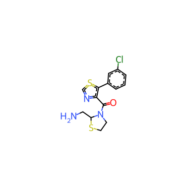 NCC1SCCN1C(=O)c1ncsc1-c1cccc(Cl)c1